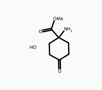 COC(=O)C1(N)CCC(=O)CC1.Cl